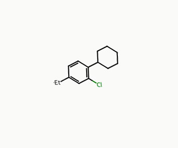 C[CH]c1ccc(C2CCCCC2)c(Cl)c1